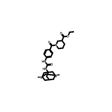 CCOC(=O)C1CCCN(C(=O)c2ccc(NC(=O)NC34CC5C[C@@](C)(C3)C[C@](C)(C5)C4)cc2)C1